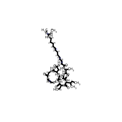 CCC(C)C1NC(=O)C(NC(=O)C(C)NC(=O)/C=C/C=C/CC/C=C/CCCCN/C(=N/C)NC)CC2(CS/C=C\NC(=O)CNC(=O)C(CC(N)=O)NC2=O)NC(=O)C(CO)NC1=O